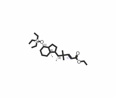 CCOC(=O)/C=C/C(C)(C)[C@H](C)C1CCC2[C@@H](O[Si](CC)(CC)CC)CCC[C@@]21C